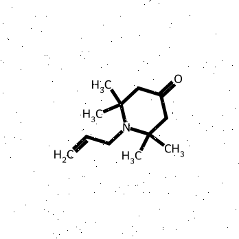 C=CCN1C(C)(C)CC(=O)CC1(C)C